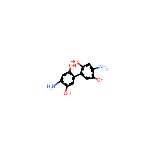 Nc1cc(O)c(-c2cc(O)c(N)cc2O)cc1O